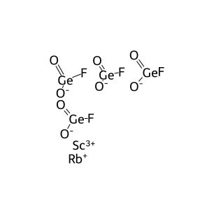 [O]=[Ge]([O-])[F].[O]=[Ge]([O-])[F].[O]=[Ge]([O-])[F].[O]=[Ge]([O-])[F].[Rb+].[Sc+3]